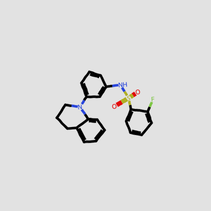 O=S(=O)(Nc1cccc(N2CCCc3ccccc32)c1)c1ccccc1F